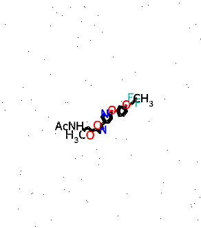 CC(=O)NC(C)CC(=O)c1cnc(-c2ccc(Oc3cccc(OCC(C)(F)F)c3)nc2)o1